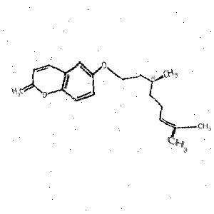 C=C1C=Cc2cc(OCC[C@@H](C)CCC=C(C)C)ccc2O1